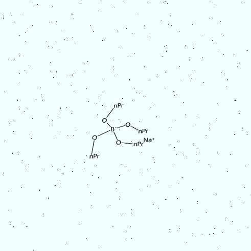 CCCO[B-](OCCC)(OCCC)OCCC.[Na+]